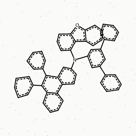 c1ccc(-c2cc(-c3ccccc3)cc(N(c3ccc4c(c3)c(-c3ccccc3)c(-c3ccccc3)c3ccccc34)c3cccc4oc5ccccc5c34)c2)cc1